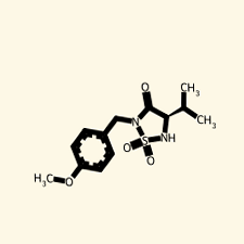 COc1ccc(CN2C(=O)[C@@H](C(C)C)NS2(=O)=O)cc1